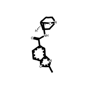 Cc1nc2cc(C(=O)N[C@@H]3CN4CCC3CC4)ccc2o1